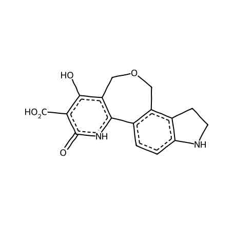 O=C(O)c1c(O)c2c([nH]c1=O)-c1ccc3c(c1COC2)CCN3